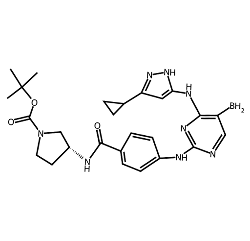 Bc1cnc(Nc2ccc(C(=O)N[C@@H]3CCN(C(=O)OC(C)(C)C)C3)cc2)nc1Nc1cc(C2CC2)n[nH]1